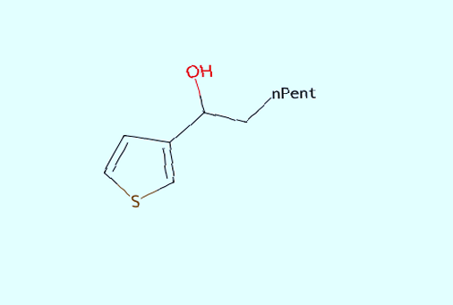 CCCCCCC(O)c1ccsc1